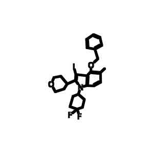 Cc1ccc2c(c(I)c(C3CCOCC3)n2C2CCC(F)(F)CC2)c1OCc1ccccc1